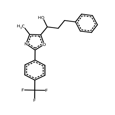 Cc1nc(-c2ccc(C(F)(F)F)cc2)oc1C(O)CCc1ccccc1